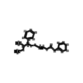 CCC(C)N(CCNCCSCc1ccccc1)c1ccccc1